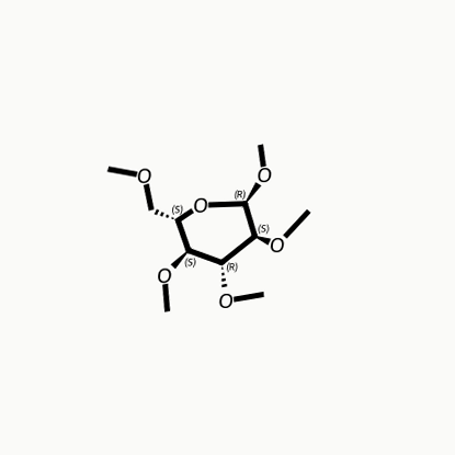 COC[C@@H]1O[C@@H](OC)[C@@H](OC)[C@H](OC)[C@H]1OC